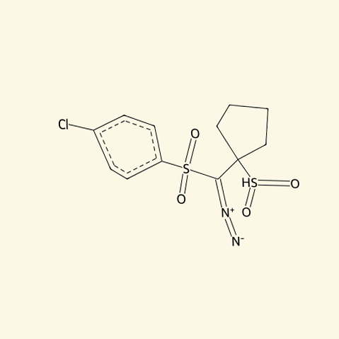 [N-]=[N+]=C(C1([SH](=O)=O)CCCC1)S(=O)(=O)c1ccc(Cl)cc1